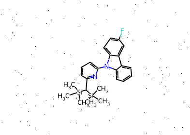 C[Si](C)(C)C(c1cccc(-n2c3ccccc3c3cc(F)ccc32)n1)[Si](C)(C)C